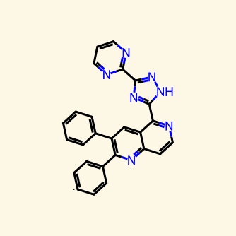 [c]1ccc(-c2nc3ccnc(-c4nc(-c5ncccn5)n[nH]4)c3cc2-c2ccccc2)cc1